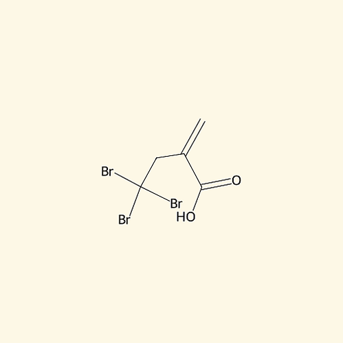 C=C(CC(Br)(Br)Br)C(=O)O